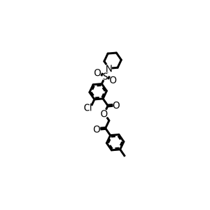 Cc1ccc(C(=O)COC(=O)c2cc(S(=O)(=O)N3CCCCC3)ccc2Cl)cc1